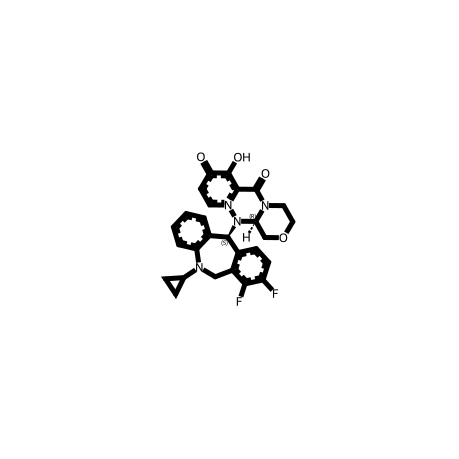 O=C1c2c(O)c(=O)ccn2N([C@@H]2c3ccccc3N(C3CC3)Cc3c2ccc(F)c3F)[C@@H]2COCCN12